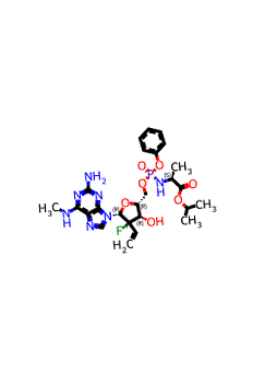 C=C[C@@]1(F)[C@H](O)[C@@H](COP(=O)(N[C@@H](C)C(=O)OC(C)C)Oc2ccccc2)O[C@H]1n1cnc2c(NC)nc(N)nc21